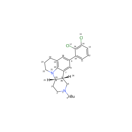 CCCCN1CC[C@H]2[C@@H](C1)c1cc(-c3cccc(Cl)c3Cl)cc3c1N2CCC3